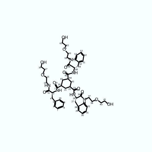 O=C(N[C@@H](Cc1ccccc1)C(=O)NCCOCCO)C1CC(C(=O)N[C@@H](Cc2ccccc2)C(=O)NCCOCCO)CC(C(=O)N[C@@H](Cc2ccccc2)C(=O)NCCOCCO)C1